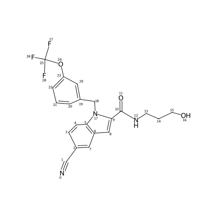 N#Cc1ccc2c(c1)cc(C(=O)NCCCO)n2Cc1cccc(OC(F)(F)F)c1